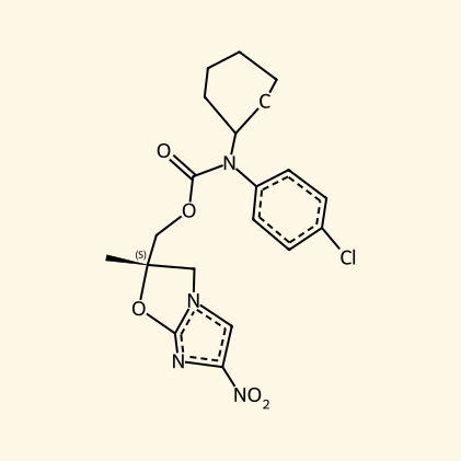 C[C@@]1(COC(=O)N(c2ccc(Cl)cc2)C2CCCCC2)Cn2cc([N+](=O)[O-])nc2O1